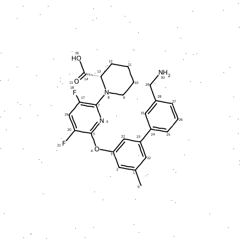 Cc1cc(Oc2nc(N3CCCC[C@H]3C(=O)O)c(F)cc2F)cc(-c2cccc(CN)c2)c1